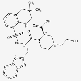 CC1(C)CNc2c(cccc2S(=O)(=O)N[C@@H](Cc2nc3ccccc3s2)C(=O)N2CC[C@@H](CCO)C[C@@H]2C(=O)O)C1